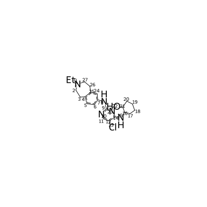 CCN1CCc2ccc(Nc3ncc(Cl)c(NC4CCCCC4O)n3)cc2CC1